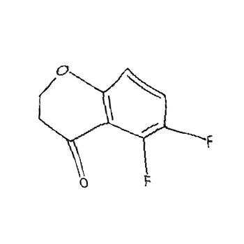 O=C1CCOc2ccc(F)c(F)c21